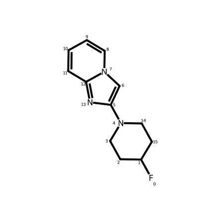 FC1CCN(c2cn3ccccc3n2)CC1